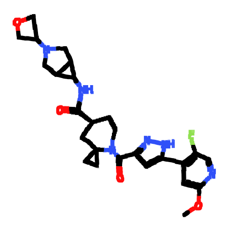 COc1cc(-c2cc(C(=O)N3CC[C@H](C(=O)NC4C5CN(C6COC6)CC54)CC34CC4)n[nH]2)c(F)cn1